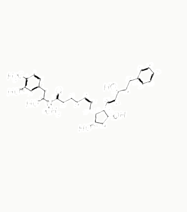 Cc1ccc(CC(O)N(C)C(=O)CCC/C=C\C[C@@H]2[C@@H](/C=C/[C@@H](O)CCc3ccccc3)[C@H](O)C[C@@H]2O)cc1O